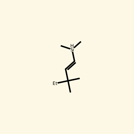 CCC(C)(C)C=C[SiH](C)C